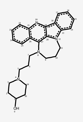 OC1CCN(CCCN2CCCn3c4ccccc4c4nc5ccccc5c2c43)CC1